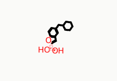 OB(O)c1cc2cc(CC3CCCCC3)ccc2o1